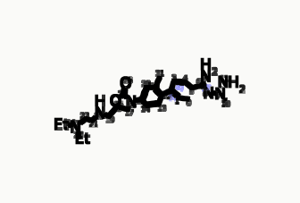 C/C=C(\C=C/C/C(N)=N/N(C)N)c1ccc(N2CC(CNCCN(CC)CC)OC2=O)cc1C